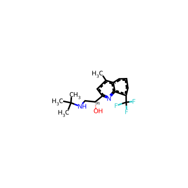 Cc1cc([C@H](O)CNC(C)(C)C)nc2c(C(F)(F)F)cccc12